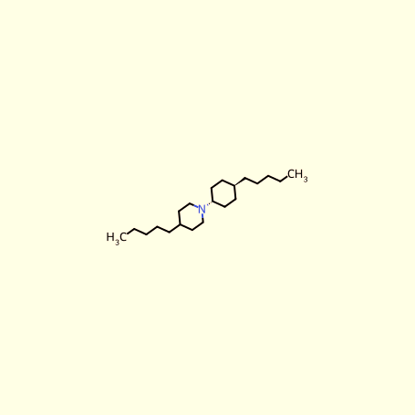 CCCCCC1CCN([C@H]2CC[C@H](CCCCC)CC2)CC1